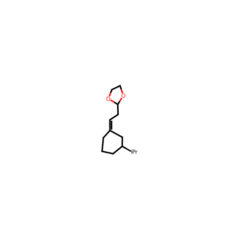 CC(C)C1CCCC(=CCC2OCCO2)C1